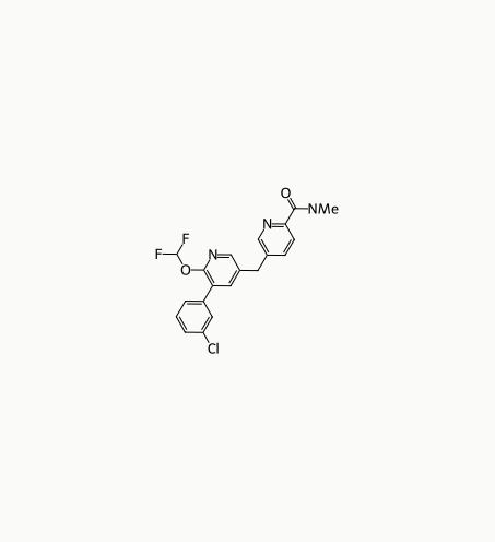 CNC(=O)c1ccc(Cc2cnc(OC(F)F)c(-c3cccc(Cl)c3)c2)cn1